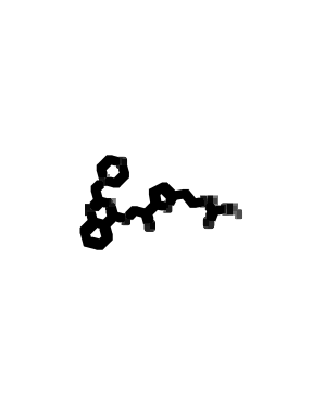 CC(=O)NCCc1ccc(C(=O)CSc2nc(CN3CCOCC3)nc3ccccc23)s1